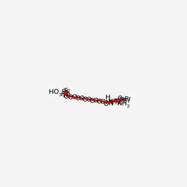 CCCN(CCC)C(=O)C1=Cc2ccc(-c3cnc(CNC(=O)CCOCCOCCOCCOCCOCCOCCOCCOCCOCCOCCC(=O)Oc4c(F)c(F)c(S(=O)(=O)O)c(F)c4F)nc3)cc2N=C(N)C1